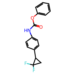 O=C(Nc1ccc(C2CC2(F)F)cc1)Oc1ccccc1